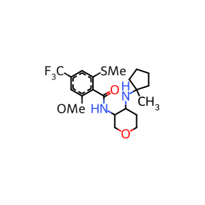 COc1cc(C(F)(F)F)cc(SC)c1C(=O)NC1COCCC1NC1(C)CCCC1